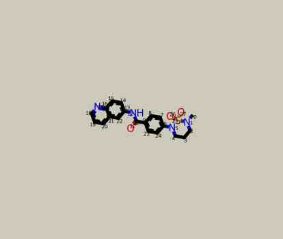 CN1CCCN(c2ccc(C(=O)Nc3ccc4ncccc4c3)cc2)S1(=O)=O